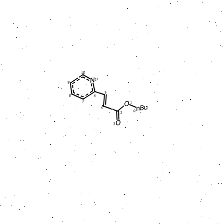 CCCCOC(=O)C=Cc1ccccn1